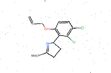 C=CCOc1ccc(Cl)c(Cl)c1C1CCC(OC)=N1